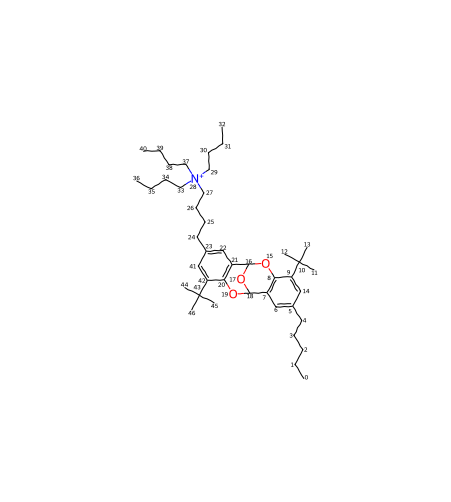 CCCCCc1cc2c(c(C(C)(C)C)c1)OC1OC2Oc2c1cc(CCCC[N+](CCCC)(CCCC)CCCC)cc2C(C)(C)C